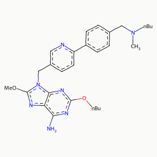 CCCCOc1nc(N)c2nc(OC)n(Cc3ccc(-c4ccc(CN(C)CCCC)cc4)nc3)c2n1